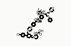 CC1(CN2CCC[C@@H](NC(=O)O)C2)CCC(c2ccc(Cl)cc2)=C(CN2CCN(c3ccc(C(=O)NS(=O)(=O)c4ccc(N[C@H](CCN5CCOCC5)CSc5ccccc5)c(S(=O)(=O)C(F)(F)F)c4)cc3)CC2)C1